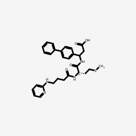 CSCC[C@H](NC(=O)CCCNc1ccccn1)C(=O)NC(CC(=O)O)c1ccc(-c2ccccc2)cc1